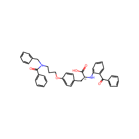 O=C(c1ccccc1)c1ccccc1N[C@@H](Cc1ccc(OCCCN(Cc2ccccc2)C(=O)c2ccccc2)cc1)C(=O)O